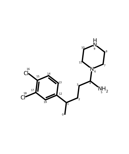 CC(CCC(N)N1CCNCC1)c1ccc(Cl)c(Cl)c1